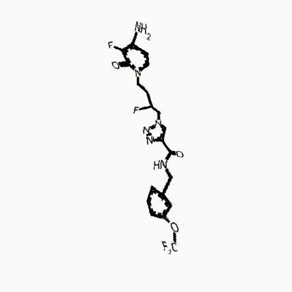 Nc1ccn(CCC(F)Cn2cc(C(=O)NCc3cccc(OC(F)(F)F)c3)nn2)c(=O)c1F